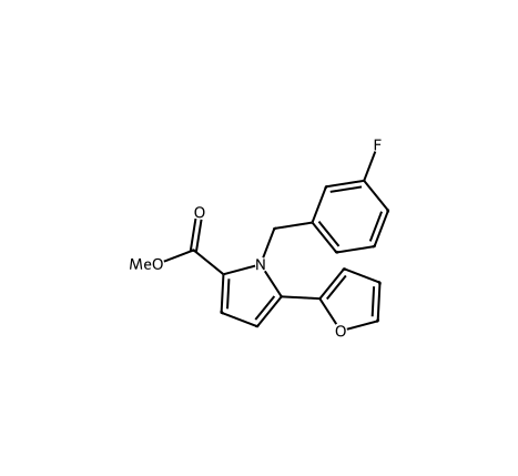 COC(=O)c1ccc(-c2ccco2)n1Cc1cccc(F)c1